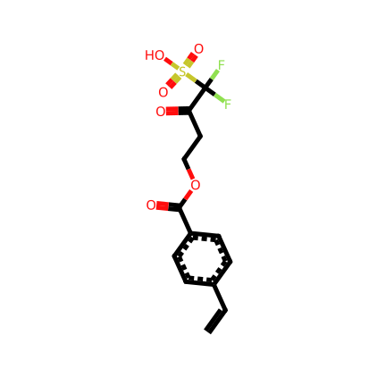 C=Cc1ccc(C(=O)OCCC(=O)C(F)(F)S(=O)(=O)O)cc1